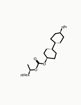 CCCCCC[C@@H](C)OC(=O)O[C@H]1CC[C@H]([C@H]2CC[C@H](CCC)CC2)CC1